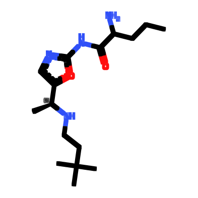 CCCC(N)C(=O)Nc1ncc([C@H](C)NCCC(C)(C)C)o1